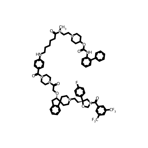 CN(CCN1CCC(OC(=O)Nc2ccccc2-c2ccccc2)CC1)C(=O)CCCCCNc1ccc(C(=O)N2CCN(C(=O)CO[C@H]3Cc4ccccc4C34CCN(CC[C@@]3(c5ccc(F)cc5)CN(C(=O)c5cc(C(F)(F)F)cc(C(F)(F)F)c5)CO3)CC4)CC2)cc1